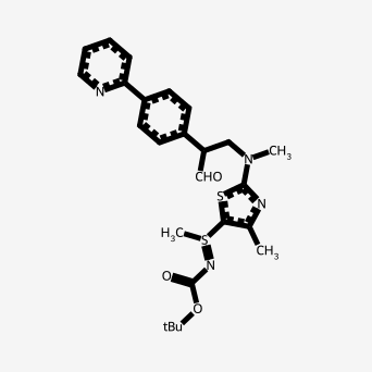 Cc1nc(N(C)CC(C=O)c2ccc(-c3ccccn3)cc2)sc1/S(C)=N/C(=O)OC(C)(C)C